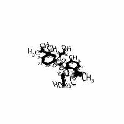 CC1CCC(C(C)C)C(OCCO)(OC(=O)OC2(OCCO)CCCC(C)(C(C)C)C2)C1